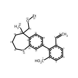 C=Cc1cccc(C(=O)O)c1-c1ccc2c(c1)SCCCC2(C)COCC